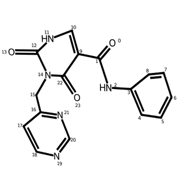 O=C(Nc1ccccc1)c1c[nH]c(=O)n(Cc2ccncn2)c1=O